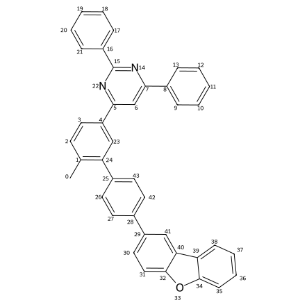 Cc1ccc(-c2cc(-c3ccccc3)nc(-c3ccccc3)n2)cc1-c1ccc(-c2ccc3oc4ccccc4c3c2)cc1